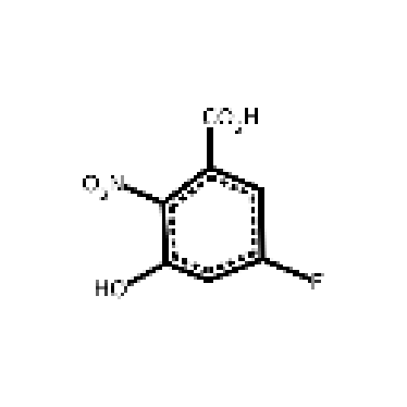 O=C(O)c1cc(F)cc(O)c1[N+](=O)[O-]